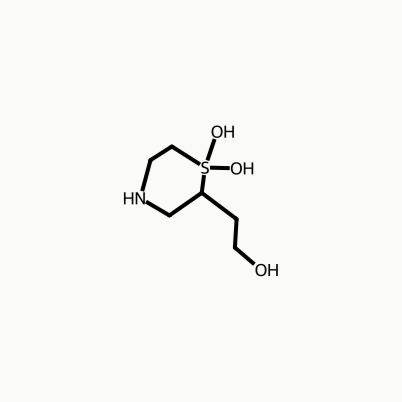 OCCC1CNCCS1(O)O